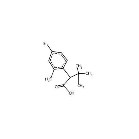 Cc1cc(Br)ccc1C(C(=O)O)C(C)(C)C